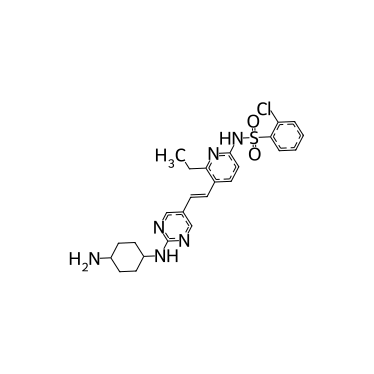 CCc1nc(NS(=O)(=O)c2ccccc2Cl)ccc1C=Cc1cnc(NC2CCC(N)CC2)nc1